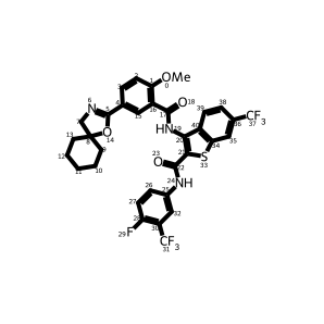 COc1ccc(C2=NCC3(CCCCC3)O2)cc1C(=O)Nc1c(C(=O)Nc2ccc(F)c(C(F)(F)F)c2)sc2cc(C(F)(F)F)ccc12